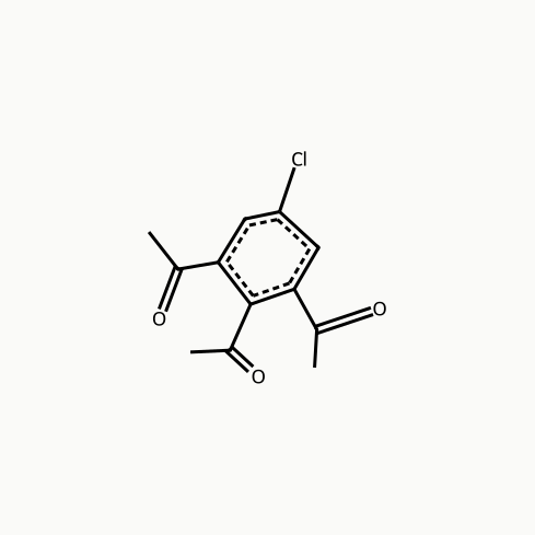 CC(=O)c1cc(Cl)cc(C(C)=O)c1C(C)=O